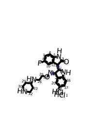 Cl.Cl.O=C1Nc2ccc(F)cc2/C1=C1/Nc2ccc(F)cc2/C1=N\OCCNC1CCNCC1